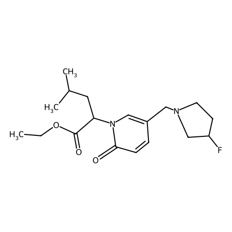 CCOC(=O)C(CC(C)C)n1cc(CN2CCC(F)C2)ccc1=O